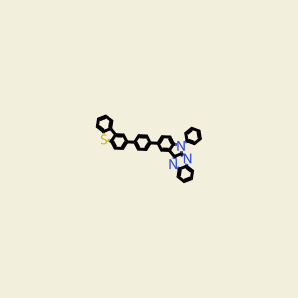 c1ccc(-n2c3ccc(-c4ccc(-c5ccc6sc7ccccc7c6c5)cc4)cc3c3nc4ccccc4nc32)cc1